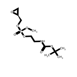 COP(=O)(OCCNC(=O)OC(C)(C)C)OC[C@@H]1CO1